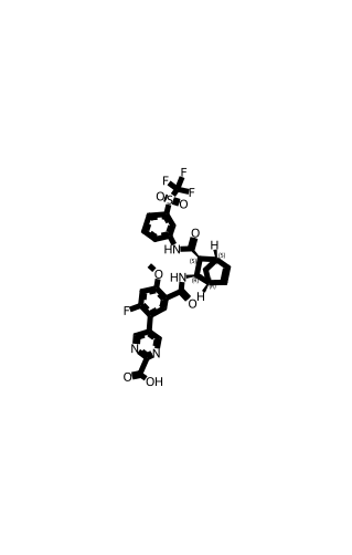 COc1cc(F)c(-c2cnc(C(=O)O)nc2)cc1C(=O)N[C@H]1[C@@H](C(=O)Nc2cccc(S(=O)(=O)C(F)(F)F)c2)[C@@H]2C=C[C@H]1C2